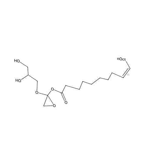 CCCCCCCC/C=C\CCCCCCCC(=O)OC1(OCC(O)CO)CO1